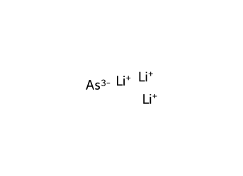 [As-3].[Li+].[Li+].[Li+]